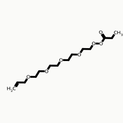 C=CCOCCOCCOCCOCCOOC(=O)CC